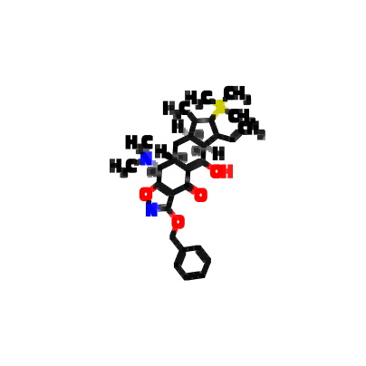 C=CC1C(S(C)(C)C)C(C)[C@@H]2C[C@@H]3C(=C(O)[C@H]12)C(=O)c1c(OCc2ccccc2)noc1[C@@H]3N(C)C